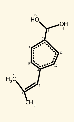 CC(C)=Cc1ccc(C(O)O)cc1